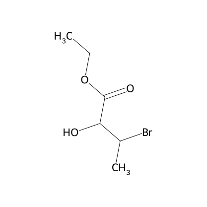 CCOC(=O)C(O)C(C)Br